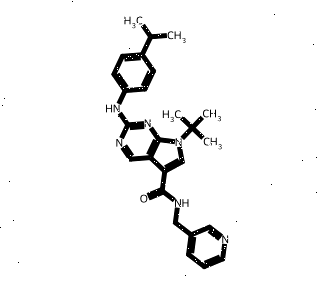 CC(C)c1ccc(Nc2ncc3c(C(=O)NCc4cccnc4)cn(C(C)(C)C)c3n2)cc1